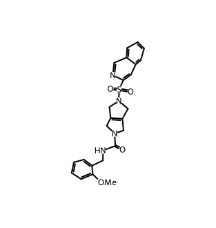 COc1ccccc1CNC(=O)N1CC2=C(C1)CN(S(=O)(=O)c1cc3ccccc3cn1)C2